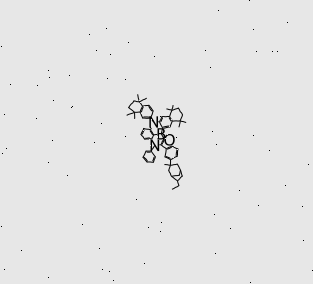 CCC1CC2CC1CC(C)(c1ccc3oc4c(c3c1)N(c1ccccc1)c1cccc3c1B4c1cc4c(cc1N3c1ccc3c(c1)C(C)(C)CCC3(C)C)C(C)(C)CCC4(C)C)C2